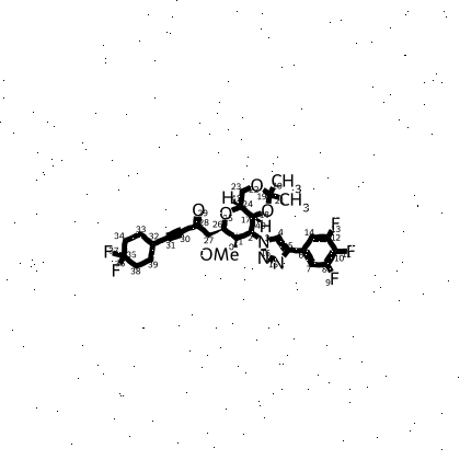 CO[C@@H]1C(n2cc(-c3cc(F)c(F)c(F)c3)nn2)[C@H]2OC(C)(C)OC[C@H]2O[C@@H]1CC(=O)C#CC1CCC(F)(F)CC1